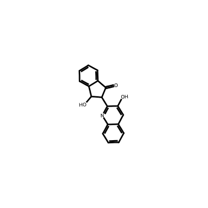 O=C1c2ccccc2C(O)C1c1nc2ccccc2cc1O